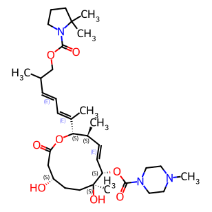 C/C(=C\C=C\C(C)COC(=O)N1CCCC1(C)C)[C@H]1OC(=O)C[C@@H](O)CC[C@](C)(O)[C@@H](OC(=O)N2CCN(C)CC2)/C=C/[C@@H]1C